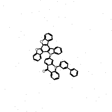 O=c1c2ccccc2n(-c2cccc(-c3ccccc3)c2)c2cc(-n3c4ccccc4c4c5c6ccccc6oc5c5oc6ccccc6c5c43)ccc12